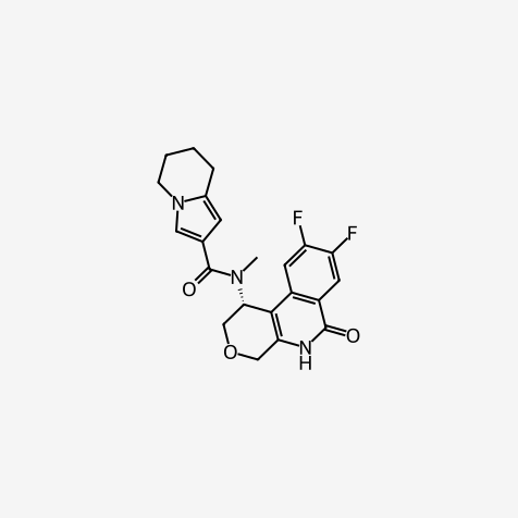 CN(C(=O)c1cc2n(c1)CCCC2)[C@H]1COCc2[nH]c(=O)c3cc(F)c(F)cc3c21